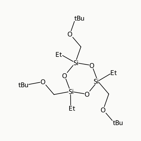 CC[Si]1(COC(C)(C)C)O[Si](CC)(COC(C)(C)C)O[Si](CC)(COC(C)(C)C)O1